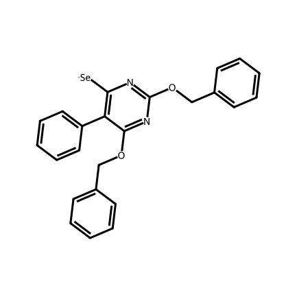 [Se]c1nc(OCc2ccccc2)nc(OCc2ccccc2)c1-c1ccccc1